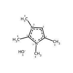 Cc1cn(C)c(C)[n+]1C.[OH-]